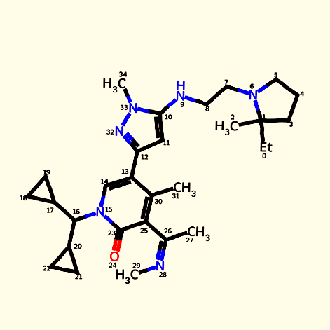 CCC1(C)CCCN1CCNc1cc(-c2cn(C(C3CC3)C3CC3)c(=O)c(/C(C)=N\C)c2C)nn1C